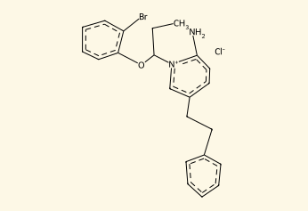 CCC(Oc1ccccc1Br)[n+]1cc(CCc2ccccc2)ccc1N.[Cl-]